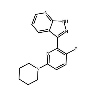 Fc1ccc(N2CCCCC2)nc1-c1n[nH]c2ncccc12